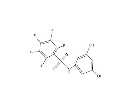 O=S(=O)(Nc1cc(O)cc(O)c1)c1c(F)c(F)c(F)c(F)c1F